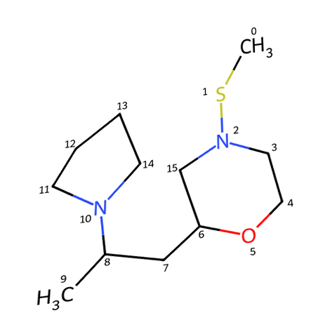 CSN1CCOC(CC(C)N2CCCC2)C1